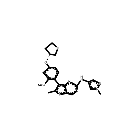 COc1cc(O[C@@H]2CCOC2)ccc1-c1c(C)sc2cnc(Nc3cnn(C)c3)nc12